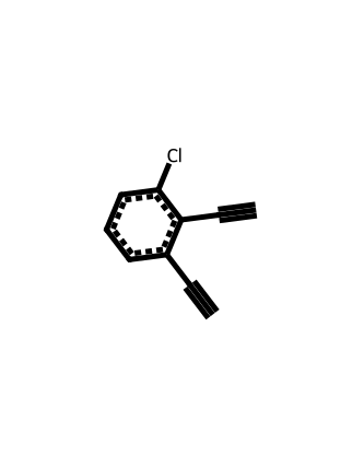 C#Cc1cccc(Cl)c1C#C